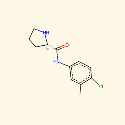 Cc1cc(NC(=O)[C@@H]2CCCN2)ccc1Cl